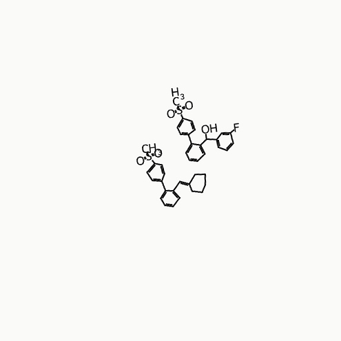 CS(=O)(=O)c1ccc(-c2ccccc2C(O)c2cccc(F)c2)cc1.CS(=O)(=O)c1ccc(-c2ccccc2C=C2CCCCC2)cc1